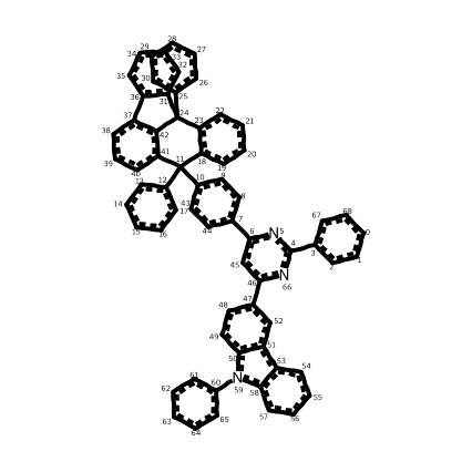 c1ccc(-c2nc(-c3ccc(C4(c5ccccc5)c5ccccc5C5(c6ccccc6)c6ccccc6-c6cccc4c65)cc3)cc(-c3ccc4c(c3)c3ccccc3n4-c3ccccc3)n2)cc1